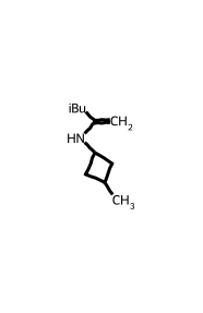 C=C(NC1CC(C)C1)C(C)CC